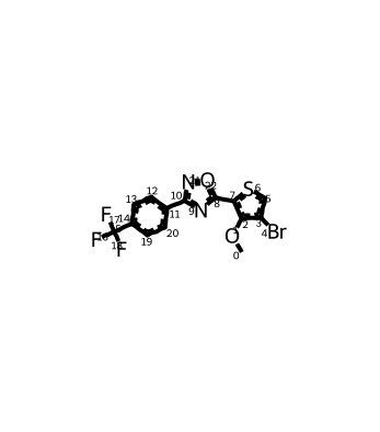 COc1c(Br)csc1-c1nc(-c2ccc(C(F)(F)F)cc2)no1